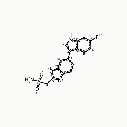 NS(=O)(=O)Cc1nc2ccc(-c3c[nH]c4cc(F)ccc34)cc2o1